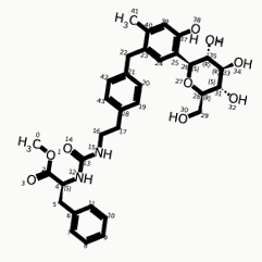 COC(=O)[C@H](Cc1ccccc1)NC(=O)NCCc1ccc(Cc2cc([C@@H]3O[C@H](CO)[C@@H](O)[C@H](O)[C@H]3O)c(O)cc2C)cc1